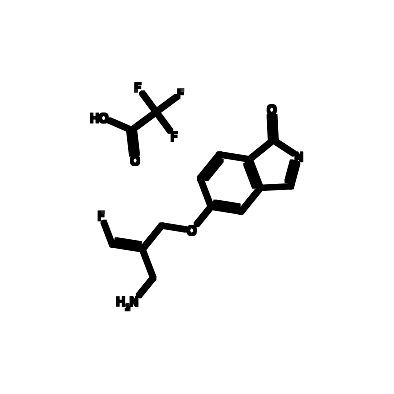 NC/C(=C/F)COc1ccc2c(c1)C=NC2=O.O=C(O)C(F)(F)F